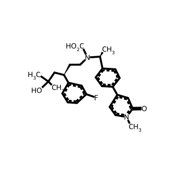 C[C@@H](c1ccc(-c2ccn(C)c(=O)c2)cc1)N(CC[C@H](CC(C)(C)O)c1cccc(F)c1)C(=O)O